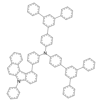 c1ccc(-c2cc(-c3ccccc3)cc(-c3ccc(N(c4ccc(-c5cc(-c6ccccc6)cc(-c6ccccc6)c5)cc4)c4cccc(-c5cccc6c5c5c7ccccc7ccc5n6-c5ccccc5)c4)cc3)c2)cc1